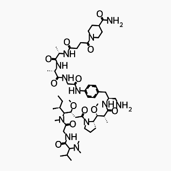 CC[C@H](C)[C@@H]([C@@H](CC(=O)N1CCC[C@H]1[C@H](OC)[C@@H](C)C(=O)N[C@H](CN)Cc1ccc(NC(=O)CNC(=O)[C@H](C)NC(=O)[C@H](C)NC(=O)CCC(=O)N2CCC(C(N)=O)CC2)cc1)OC)N(C)C(=O)CNC(=O)C(C(C)C)N(C)C